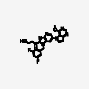 COc1ncnc2ccn(-c3cnc4nc(NCCO)n(Cc5cc(F)cc(F)c5)c4c3)c12